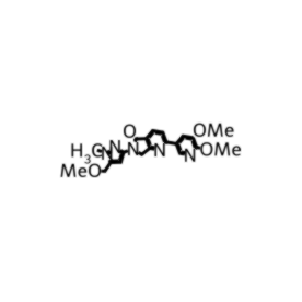 COCc1cc(N2Cc3nc(-c4cnc(OC)c(OC)c4)ccc3C2=O)nn1C